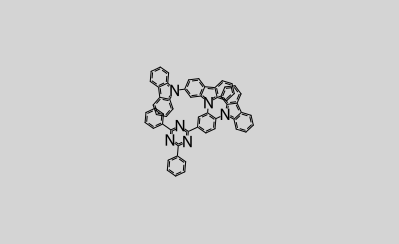 c1ccc(-c2nc(-c3ccccc3)nc(-c3ccc(-n4c5ccccc5c5ccccc54)c(-n4c5ccccc5c5ccc(-n6c7ccccc7c7ccccc76)cc54)c3)n2)cc1